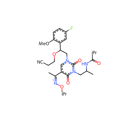 COc1ccc(F)cc1C(Cn1cc(/C(C)=N\OC(C)C)c(=O)n(CC(C)NC(=O)C(C)C)c1=O)OCCC#N